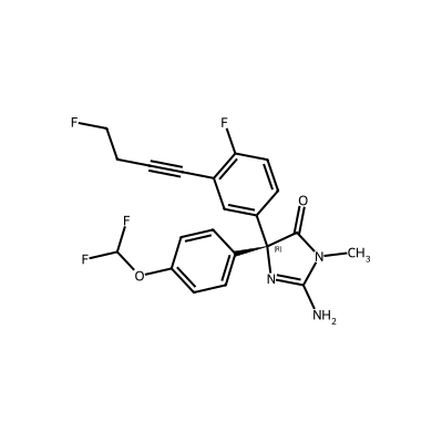 CN1C(=O)[C@@](c2ccc(OC(F)F)cc2)(c2ccc(F)c(C#CCCF)c2)N=C1N